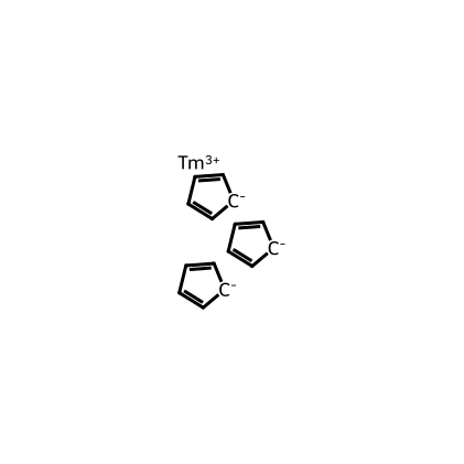 [Tm+3].c1cc[cH-]c1.c1cc[cH-]c1.c1cc[cH-]c1